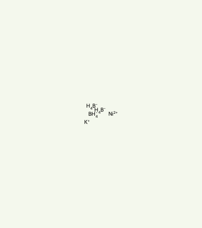 [BH4-].[BH4-].[BH4-].[K+].[Ni+2]